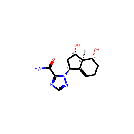 NC(=O)c1ncnn1[C@H]1C[C@H](O)[C@@H]2C1=CCC[C@H]2O